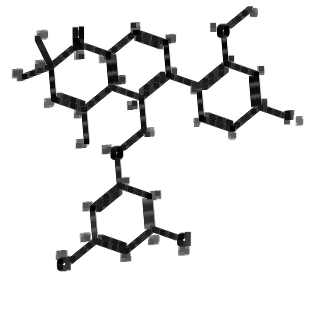 COc1cc(F)ccc1-c1ccc2c(c1COc1cc(Cl)cc(Cl)c1)C(C)=CC(C)(C)N2